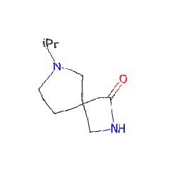 CC(C)N1CCC2(CNC2=O)C1